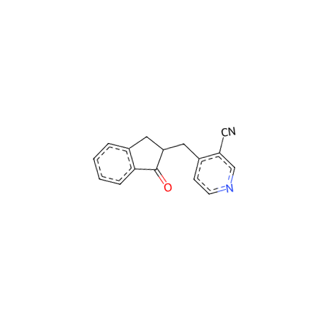 N#Cc1cnccc1CC1Cc2ccccc2C1=O